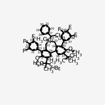 Br.COc1c(C(C)(C)C)cc2c(c1-c1cc(F)c(F)c(F)c1)C[N+](C)(C(C)c1ccccc1)Cc1c-2cc(C(C)(C)C)c(OC)c1-c1cc(F)c(F)c(F)c1